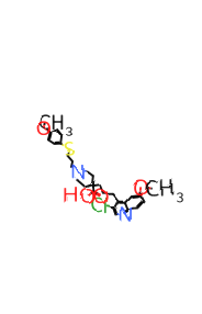 COc1ccc(SCCCN2CCC(CCCc3c(Cl)cnc4ccc(OC)cc34)(C(=O)O)CC2)cc1